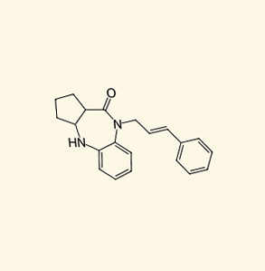 O=C1C2CCCC2Nc2ccccc2N1CC=Cc1ccccc1